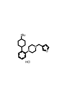 CC(C)(C)C1CCC(c2ccccc2N2CCN(Cc3ccoc3)CC2)CC1.Cl